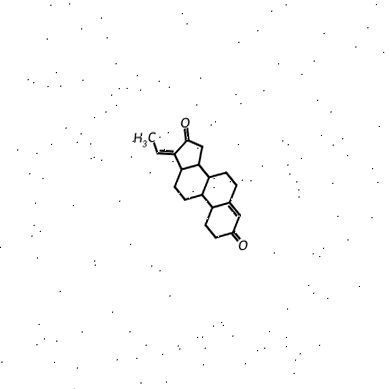 C/C=C1\C(=O)CC2C1CCC1C3CCC(=O)C=C3CCC12